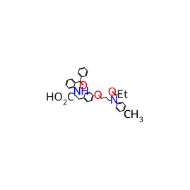 CCC(=O)N(CCCOc1ccc(C[C@H](Nc2ccccc2C(=O)c2ccccc2)C(=O)O)cc1)c1ccc(C)cc1